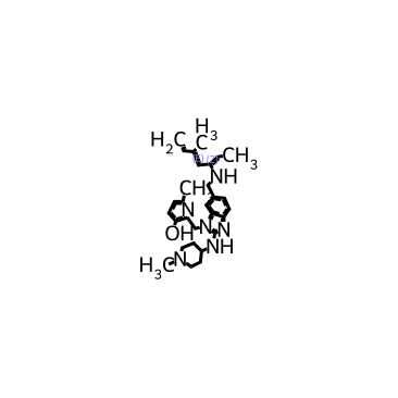 C=C/C(C)=C/C(=C/C)NCc1ccc2nc(NC3CCN(C)CC3)n(Cc3nc(C)ccc3O)c2c1